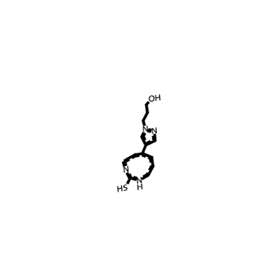 OCCCn1cc(-c2ccc[nH]c(S)ncc2)cn1